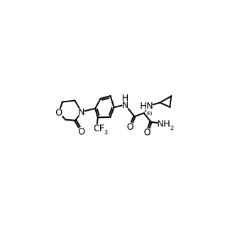 NC(=O)[C@@H](NC1CC1)C(=O)Nc1ccc(N2CCOCC2=O)c(C(F)(F)F)c1